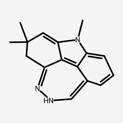 Cn1c2c3c(n[nH]cc4cccc1c43)CC(C)(C)C=2